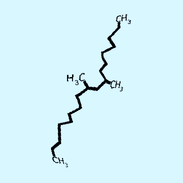 CCCCCCCCC(C)CC(C)CCCCCCC